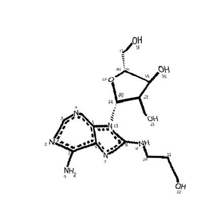 Nc1ncnc2c1nc(NCCO)n2[C@@H]1O[C@H](CO)C(O)C1O